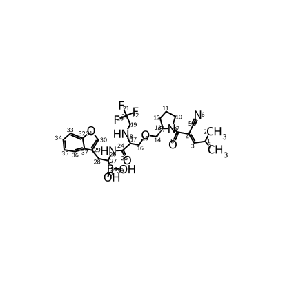 CC(C)C=C(C#N)C(=O)N1CCC[C@@H]1COCC(NCC(F)(F)F)C(=O)NC(Cc1coc2ccccc12)B(O)O